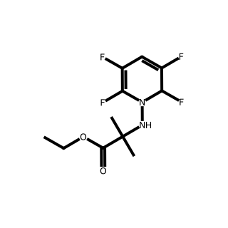 CCOC(=O)C(C)(C)NN1C(F)=C(F)C=C(F)C1F